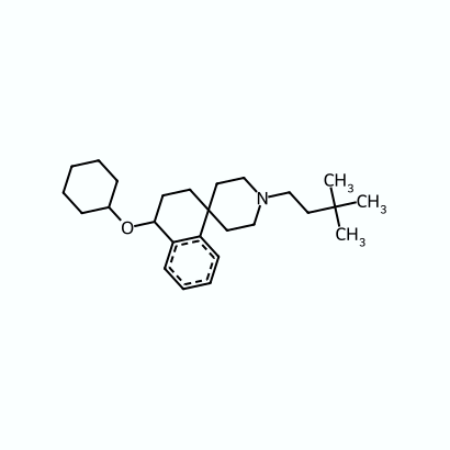 CC(C)(C)CCN1CCC2(CCC(OC3CCCCC3)c3ccccc32)CC1